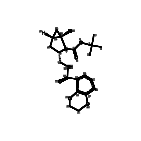 CC(C)(C)OC(=O)N1[C@H](CNC(=O)c2cccc3c2OCCO3)C[C@@H]2C[C@@H]21